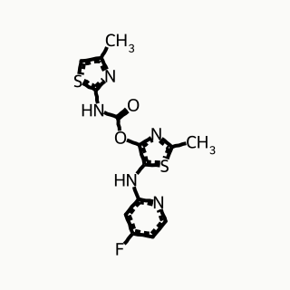 Cc1csc(NC(=O)Oc2nc(C)sc2Nc2cc(F)ccn2)n1